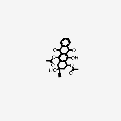 C#CC1(O)Cc2c(OC(C)=O)c3c(c(O)c2C(OC(C)=O)C1)C(=O)c1ccccc1C3=O